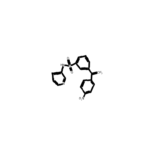 C=C(c1ccc([N+](=O)[O-])cc1)c1cccc(S(=O)(=O)Nc2cccnc2)c1